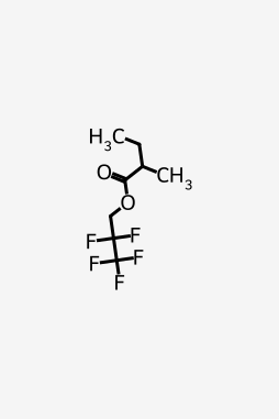 CCC(C)C(=O)OCC(F)(F)C(F)(F)F